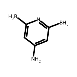 Bc1cc(N)cc(B)n1